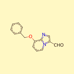 O=Cc1cnc2c(OCc3ccccc3)cccn12